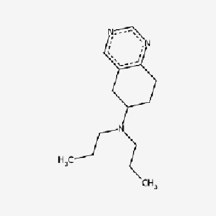 CCCN(CCC)C1CCc2ncncc2C1